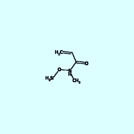 C=CC(=O)[SiH](C)O[SiH3]